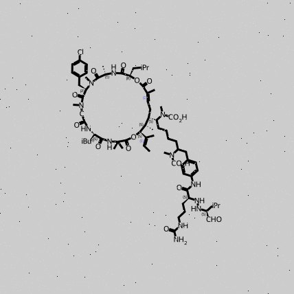 C/C=C(\C)[C@H]1OC(=O)C(C)(C)NC(=O)[C@H]([C@H](C)CC)NC(=O)CN(C)C(=O)[C@@H](Cc2ccc(Cl)cc2)N(C)C(=O)[C@H](C)NC(=O)[C@@H](CC(C)C)OC(=O)/C(C)=C/C[C@H](C(CCCCC(Cc2ccc(NC(=O)[C@H](CCCNC(N)=O)NN[C@H](C=O)C(C)C)cc2)N(C)C(=O)O)N(C)C(=O)O)[C@@H]1C